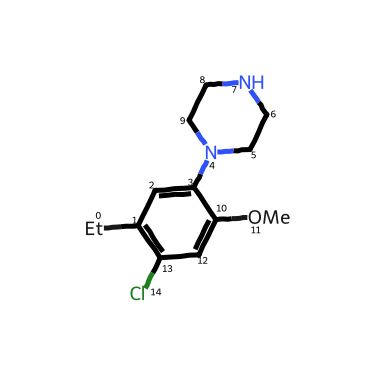 CCc1cc(N2CCNCC2)c(OC)cc1Cl